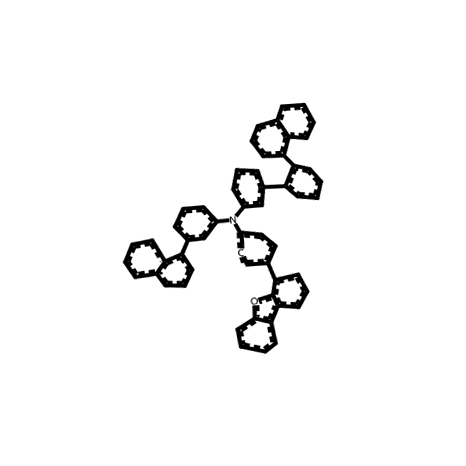 c1cc(-c2ccccc2-c2cccc3ccccc23)cc(N(c2ccc(-c3cccc4c3oc3ccccc34)cc2)c2cccc(-c3cccc4ccccc34)c2)c1